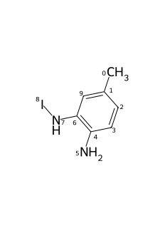 Cc1ccc(N)c(NI)c1